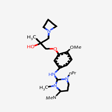 CCCN1CCC(NC)N(C)C1Nc1ccc(OC)c(OCC(C)(O)CN2CCC2)c1